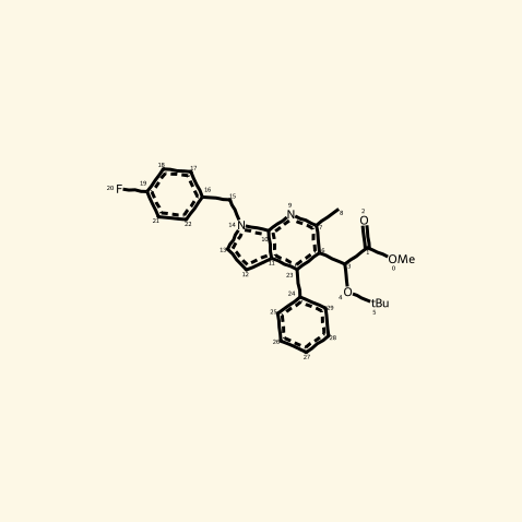 COC(=O)C(OC(C)(C)C)c1c(C)nc2c(ccn2Cc2ccc(F)cc2)c1-c1ccccc1